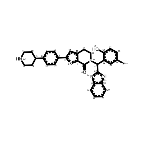 O=C1c2sc(-c3ccc(C4CCNCC4)cc3)cc2CCN1C(c1nc2ccccc2[nH]1)c1cc(F)ccc1O